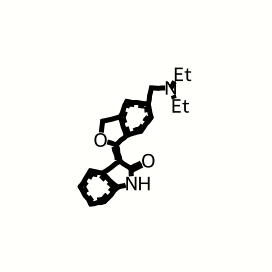 CCN(CC)Cc1ccc2c(c1)COC2=C1C(=O)Nc2ccccc21